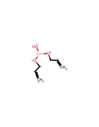 C=CCOB(O)OCC=C